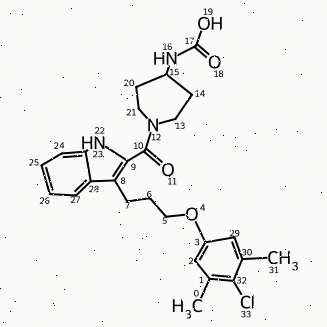 Cc1cc(OCCCc2c(C(=O)N3CCC(NC(=O)O)CC3)[nH]c3ccccc23)cc(C)c1Cl